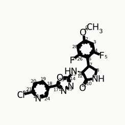 COc1cc(F)c(C2CNC(=O)[C@@H]2Nc2nnc(-c3ccc(Cl)nc3)o2)c(F)c1